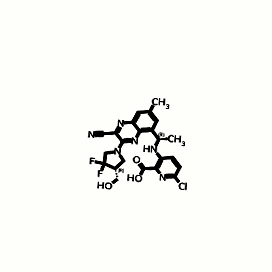 Cc1cc([C@@H](C)Nc2ccc(Cl)nc2C(=O)O)c2nc(N3C[C@H](CO)C(F)(F)C3)c(C#N)nc2c1